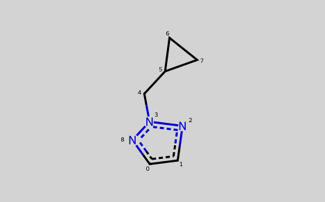 c1cnn(CC2CC2)n1